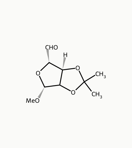 CO[C@@H]1O[C@H](C=O)[C@H]2OC(C)(C)OC12